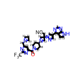 N#CCC1(n2cc(-c3ncnc4[nH]ccc34)cn2)CN(C2CCN(C(=O)c3cc(CN4CCC4)nc(C(F)(F)F)n3)CC2)C1